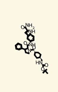 CC(C)(C)OC(=O)NC[C@H]1CC[C@H](C(=O)N2CCC(c3ccccc3)C2C(=O)Nc2ccc3[nH]c(C(N)=O)cc3c2)CC1